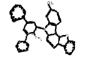 CC1C=CC2=C(C1)N(C1C=C(c3ccccc3)C=C(c3ccccc3)[C@@H]1C)C1C=CC3c4ccccc4OC3C21